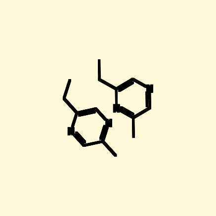 CCc1cnc(C)cn1.CCc1cncc(C)n1